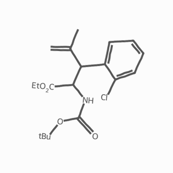 C=C(C)C(c1ccccc1Cl)C(NC(=O)OC(C)(C)C)C(=O)OCC